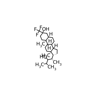 CC(C)C(O)[C@@H](C)[C@H]1CC[C@H]2[C@@H]3CC[C@@H]4C[C@@](O)(C(F)(F)F)CC[C@]4(C)[C@H]3CC[C@]12C